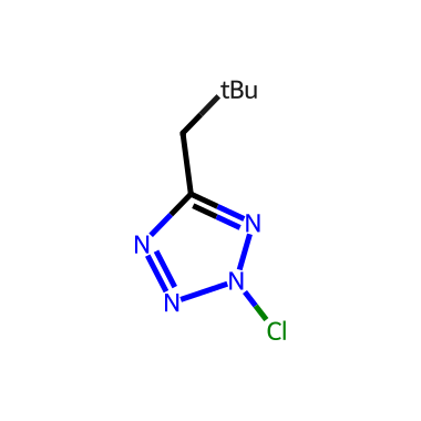 CC(C)(C)Cc1nnn(Cl)n1